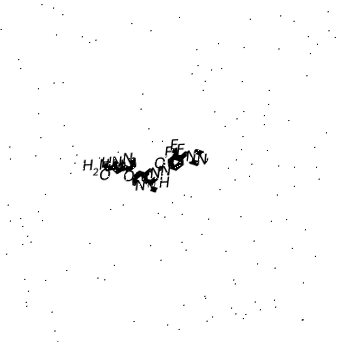 CC[C@H]1CN(C(=O)Nc2ccc(CN3CCN(C)CC3)c(C(F)(F)F)c2)Cc2cc(Oc3ccnc4[nH]c(C(N)=O)cc34)cnc21